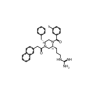 N=C(N)NCCC[C@H]1CN(C(=O)Cc2ccc3ccccc3c2)[C@H](Cc2ccccc2)CN1C(=O)c1cccc(I)c1